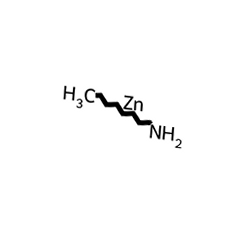 CCCCCCCCN.[Zn]